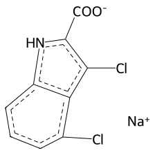 O=C([O-])c1[nH]c2cccc(Cl)c2c1Cl.[Na+]